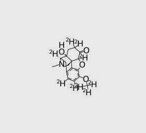 [2H]c1c([2H])c(OC([2H])([2H])[2H])c2c3c1C[C@@]1([2H])N(C)CC[C@@]34C([2H])(O2)C(=O)C([2H])([2H])C[C@@]14O